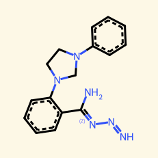 N=N/N=C(\N)c1ccccc1N1CCN(c2ccccc2)C1